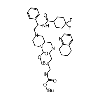 CC(C)(C)OC(=O)NCCCCN(C[C@@H]1CN(C[C@H](NC(=O)C2CCC(F)(F)CC2)c2ccccc2)CCN1C(=O)OC(C)(C)C)[C@H]1CCCc2cccnc21